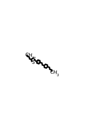 CCCCC1CCC(CCc2ccc(C3SCC(CCCC)CS3)cc2)CC1